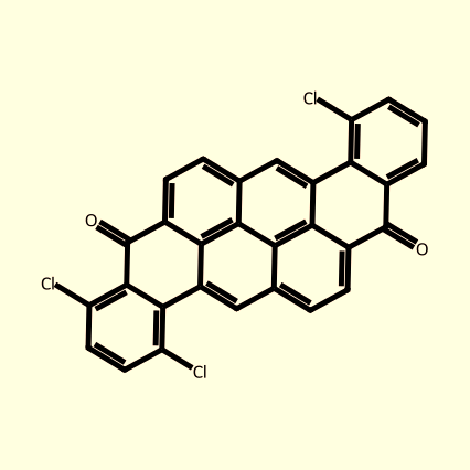 O=c1c2cccc(Cl)c2c2cc3ccc4c(=O)c5c(Cl)ccc(Cl)c5c5cc6ccc1c2c6c3c45